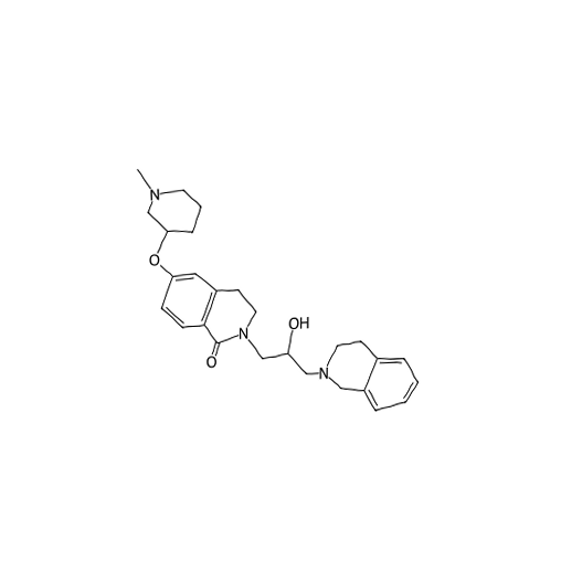 CN1CCCC(Oc2ccc3c(c2)CCN(CC(O)CN2CCc4ccccc4C2)C3=O)C1